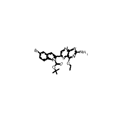 CCOc1nc(N)nc2ncc(-c3cc4cc(Br)ccc4n3C(=O)OC(C)(C)C)nc12